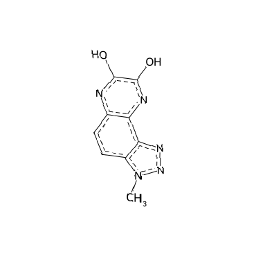 Cn1nnc2c3nc(O)c(O)nc3ccc21